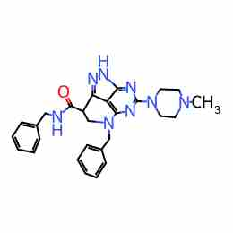 CN1CCN(c2nc3c4c(n[nH]c4n2)C(C(=O)NCc2ccccc2)CN3Cc2ccccc2)CC1